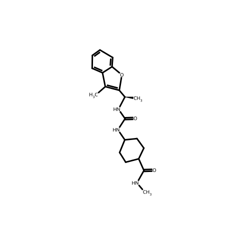 CNC(=O)C1CCC(NC(=O)N[C@H](C)c2oc3ccccc3c2C)CC1